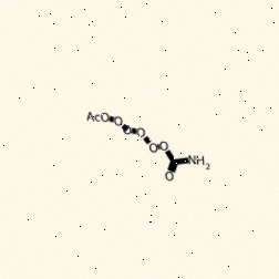 CC(=O)OOOOOOC(N)=O